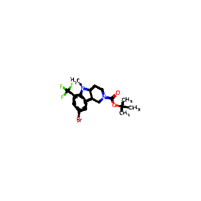 CN1c2c(cc(Br)cc2C(F)(F)F)C2CN(C(=O)OC(C)(C)C)CCC21